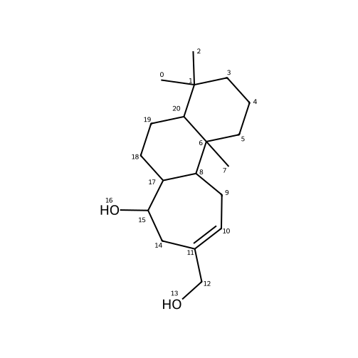 CC1(C)CCCC2(C)C3CC=C(CO)CC(O)C3CCC12